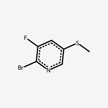 CSc1cnc(Br)c(F)c1